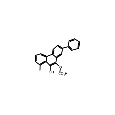 Cc1cccc2c1c(O)c(OC(=O)O)c1cc(-c3ccccc3)ccc12